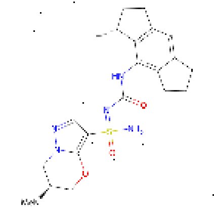 CN[C@@H]1COc2c(S(N)(=O)=NC(=O)Nc3c4c(cc5c3[C@H](C)CC5)CCC4)cnn2C1